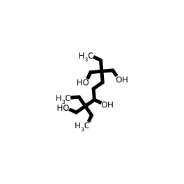 CCC(CO)(CO)CCC(O)C(CC)(CC)CO